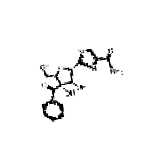 NC(=O)c1c[se]c([C@@H]2O[C@H](CO)[C@](O)(C(=O)c3ccccc3)[C@H]2O)n1